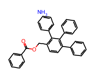 N.O=C(OCc1ccc(-c2ccccc2)c(-c2ccccc2)c1-c1ccccc1)c1ccccc1